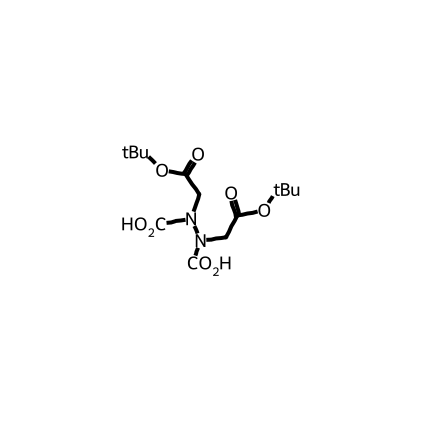 CC(C)(C)OC(=O)CN(C(=O)O)N(CC(=O)OC(C)(C)C)C(=O)O